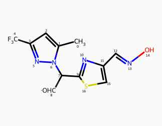 Cc1cc(C(F)(F)F)nn1C([C]=O)c1nc(C=NO)cs1